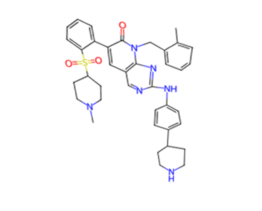 Cc1ccccc1Cn1c(=O)c(-c2ccccc2S(=O)(=O)C2CCN(C)CC2)cc2cnc(Nc3ccc(C4CCNCC4)cc3)nc21